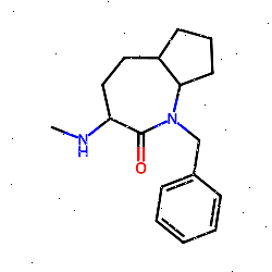 CNC1CCC2CCCC2N(Cc2ccccc2)C1=O